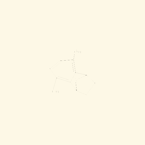 CC(C)(C)c1ccc(C(C)(C)C)c2c1C1CCC2S1